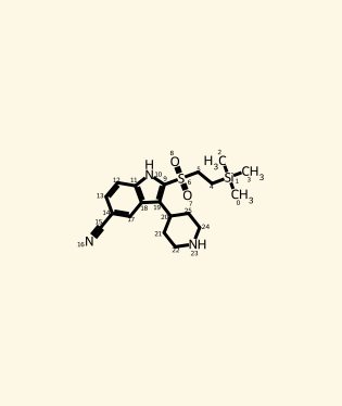 C[Si](C)(C)CCS(=O)(=O)c1[nH]c2ccc(C#N)cc2c1C1CCNCC1